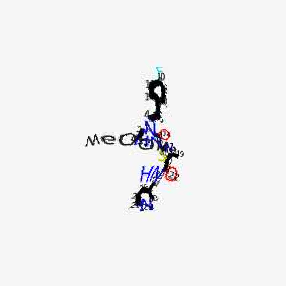 COC(CN(CCc1ccc(F)cc1)C(=O)Nc1nc(C)c(C(=O)NCc2cccnc2)s1)OC